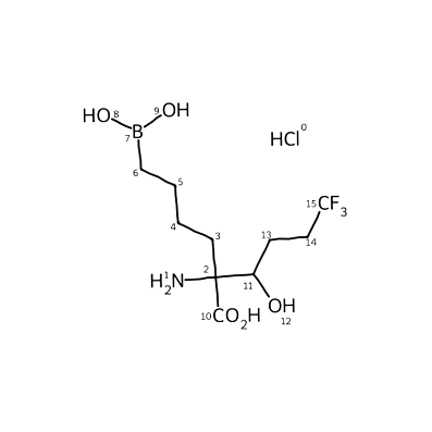 Cl.NC(CCCCB(O)O)(C(=O)O)C(O)CCC(F)(F)F